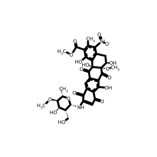 COC(=O)c1c(C)c([N+](=O)[O-])c2c(c1O)[C@]1(O)C(=O)c3cc4c(c(O)c3C(=O)[C@]1(OC)[C@H](O)C2)C(=O)C=C(N[C@H]1O[C@@H](C)[C@H](OC)[C@@H](O)[C@H]1CO)C4=O